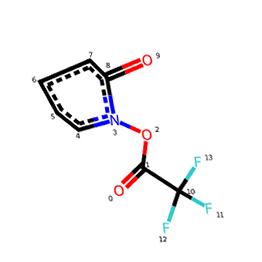 O=C(On1ccccc1=O)C(F)(F)F